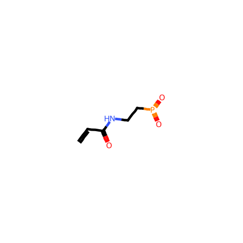 C=CC(=O)NCCP(=O)=O